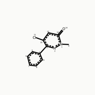 Cn1nc(-c2ccccc2)c(Cl)cc1=O